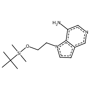 CC(C)(C)[Si](C)(C)OCCn1ccc2cncc(N)c21